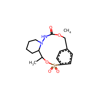 C.CC1OS(=O)(=O)c2ccc(cc2)COC(=O)NN2CCCCC12